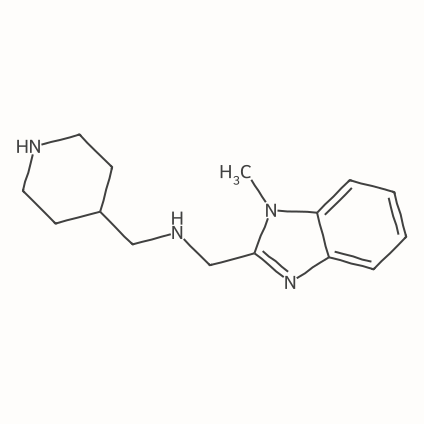 Cn1c(CNCC2CCNCC2)nc2ccccc21